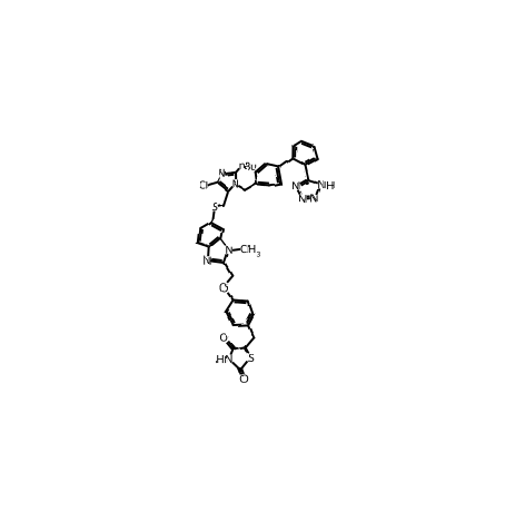 CCCCc1nc(Cl)c(CSc2ccc3nc(COc4ccc(CC5SC(=O)NC5=O)cc4)n(C)c3c2)n1Cc1ccc(-c2ccccc2-c2nnn[nH]2)cc1